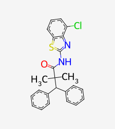 CC(C)(C(=O)Nc1nc2c(Cl)cccc2s1)C(c1ccccc1)c1ccccc1